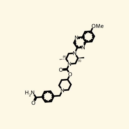 COc1ccc2nc(N3C[C@@H](C)N(C(=O)OC4CCN(Cc5ccc(C(N)=O)cc5)CC4)C[C@@H]3C)cnc2c1